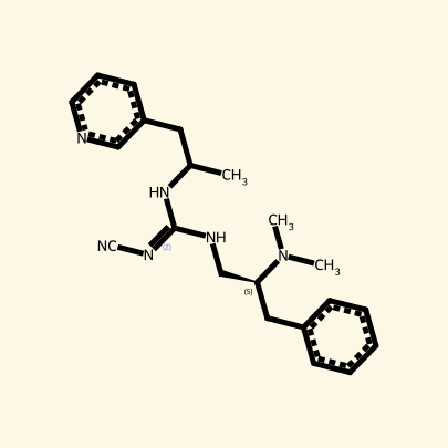 CC(Cc1cccnc1)N/C(=N\C#N)NC[C@H](Cc1ccccc1)N(C)C